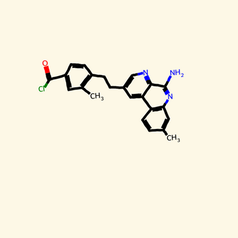 Cc1ccc2c(c1)nc(N)c1ncc(CCc3ccc(C(=O)Cl)cc3C)cc12